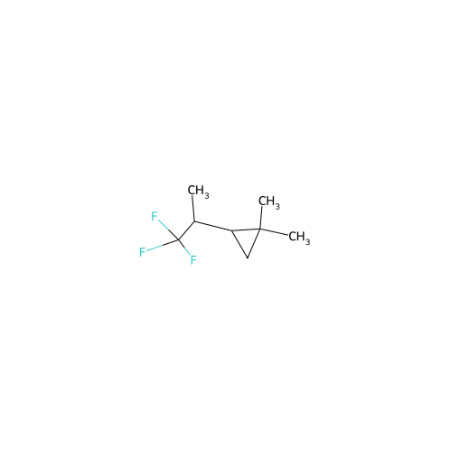 CC(C1CC1(C)C)C(F)(F)F